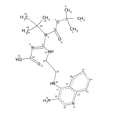 CC(C)(C)OC(=O)N(C(=NC(=O)O)NCCNc1c(N)cnc2ccccc12)C(C)(C)C